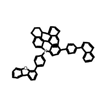 c1ccc(N(c2ccc(-c3ccc(-c4cccc5ccccc45)cc3)cc2)c2ccc(-c3cccc4c3oc3ccccc34)cc2)c(-c2cccc3cccc(C4CCCCC4)c23)c1